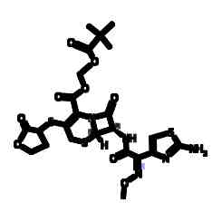 CO/N=C(\C(=O)N[C@@H]1C(=O)N2C(C(=O)OCOC(=O)C(C)(C)C)=C(SC3CCOC3=O)CS[C@@H]12)c1csc(N)n1